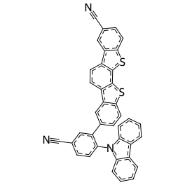 N#Cc1ccc(-n2c3ccccc3c3ccccc32)c(-c2ccc3sc4c(ccc5c6cc(C#N)ccc6sc54)c3c2)c1